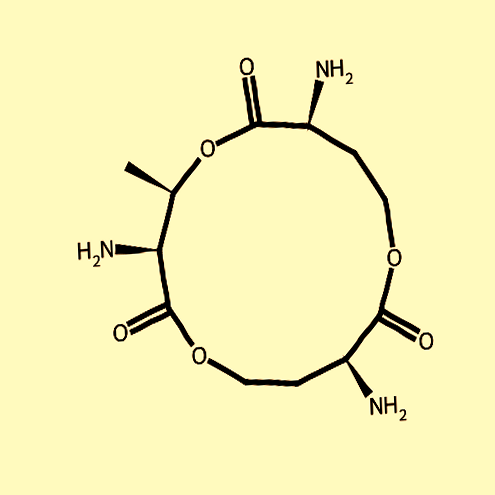 C[C@H]1OC(=O)[C@@H](N)CCOC(=O)[C@@H](N)CCOC(=O)[C@H]1N